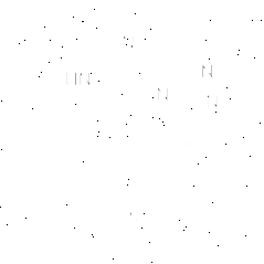 c1cc2c(ncc3nnc([C@@H]4CCC(OC5CCCCC5)C4)n32)[nH]1